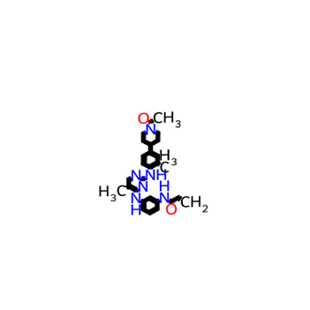 C=CC(=O)Nc1cccc(Nc2nc(Nc3ccc(C4CCN(C(C)=O)CC4)cc3C)ncc2C)c1